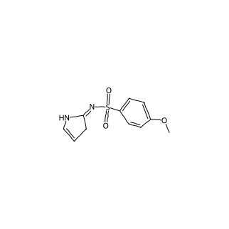 COc1ccc(S(=O)(=O)/N=C2\CC=CN2)cc1